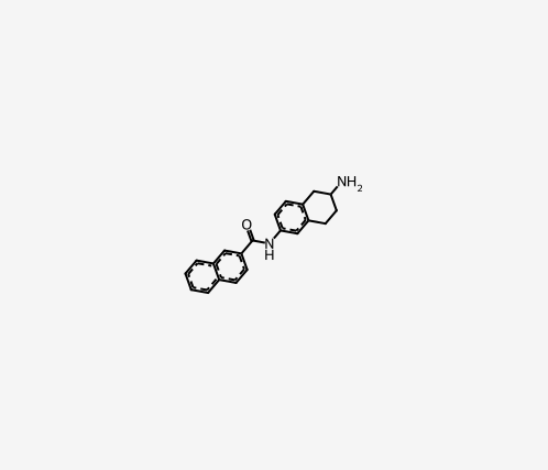 NC1CCc2cc(NC(=O)c3ccc4ccccc4c3)ccc2C1